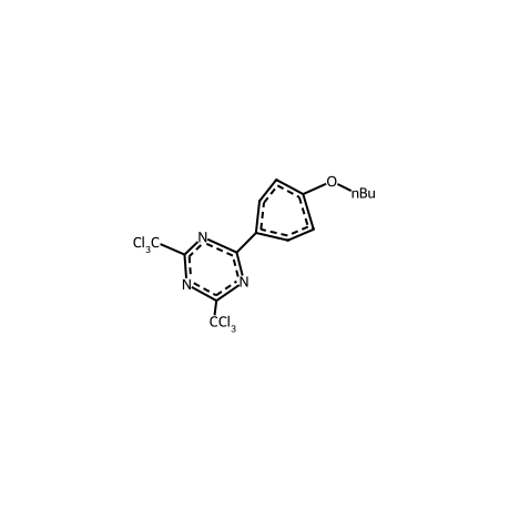 CCCCOc1ccc(-c2nc(C(Cl)(Cl)Cl)nc(C(Cl)(Cl)Cl)n2)cc1